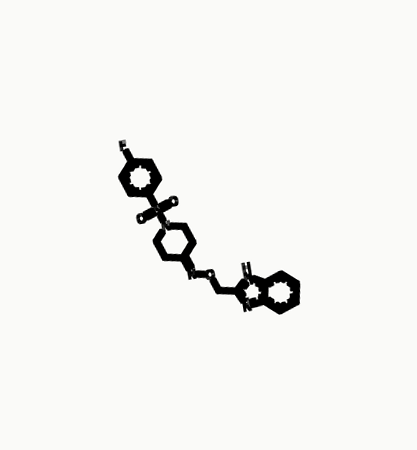 O=S(=O)(c1ccc(F)cc1)N1CCC(=NOCc2nc3ccccc3[nH]2)CC1